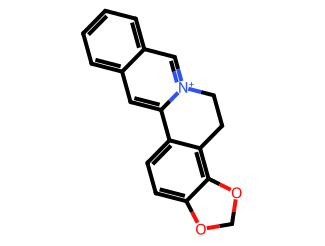 c1ccc2c[n+]3c(cc2c1)-c1ccc2c(c1CC3)OCO2